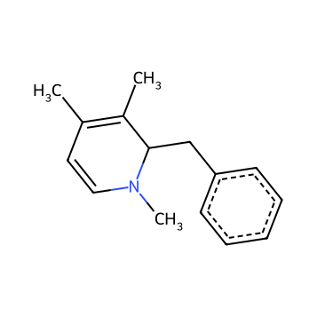 CC1=C(C)C(Cc2ccccc2)N(C)C=C1